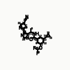 CC(NC(=O)c1cc(OC(F)F)cc(C2CC2)c1)c1ncnn1-c1ncc(C#N)s1